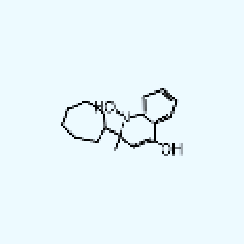 CC1(C2CCCCCC2)C=C(O)c2ccccc2N1O